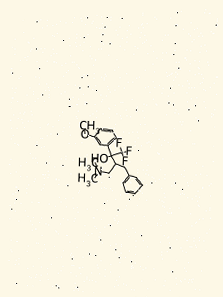 COc1cccc(C(O)(C(Cc2ccccc2)CN(C)C)C(F)(F)F)c1